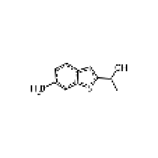 Bc1ccc2cc(C(C)O)sc2c1